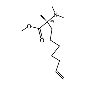 C=CCCCCC[C@](C)(C(=O)OC)N(C)C